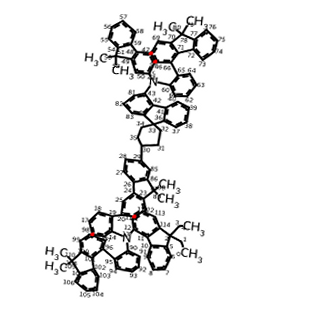 CCC1(CC)c2ccccc2-c2c(N(c3ccccc3-c3ccc4c(c3)-c3ccc(C5CCC6(CC5)c5ccccc5-c5c(N(c7ccc8c(c7)C(C)(C)c7ccccc7-8)c7ccccc7-c7cccc8c7-c7ccccc7C8(C)C)cccc56)cc3C4(C)C)c3ccccc3-c3cccc4c3-c3ccccc3C4(C)C)cccc21